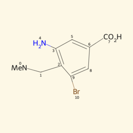 CNCc1c(N)cc(C(=O)O)cc1Br